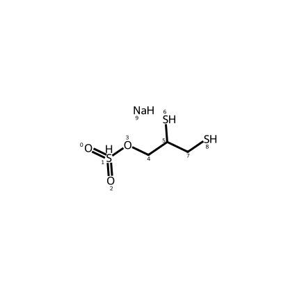 O=[SH](=O)OCC(S)CS.[NaH]